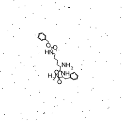 NC(=O)[C@H](Cc1ccccc1)NC(=O)[C@@H](N)CCCCNC(=O)OCc1ccccc1